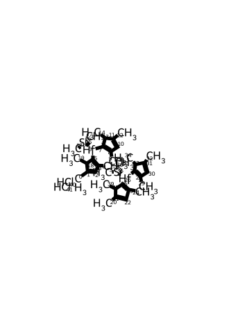 CC1=CC(C)=[C]([Hf]([C]2=C(C)C=C(C)C2C)=[Si](C)C)C1C.CC1=CC(C)=[C]([Hf]([C]2=C(C)C=C(C)C2C)=[Si](C)C)C1C.Cl.Cl